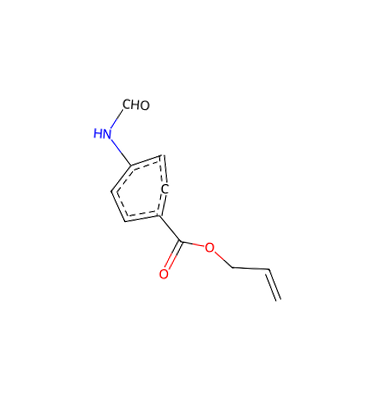 C=CCOC(=O)c1ccc(NC=O)cc1